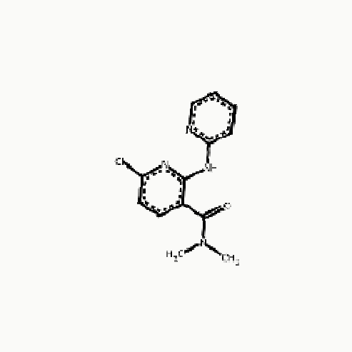 CN(C)C(=O)c1ccc(Cl)nc1Nc1ccccn1